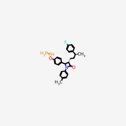 Cc1ccc(N2C(=O)[C@@H](CC[C@H](C)c3ccc(F)cc3)C2c2ccc(OPP)cc2)cc1